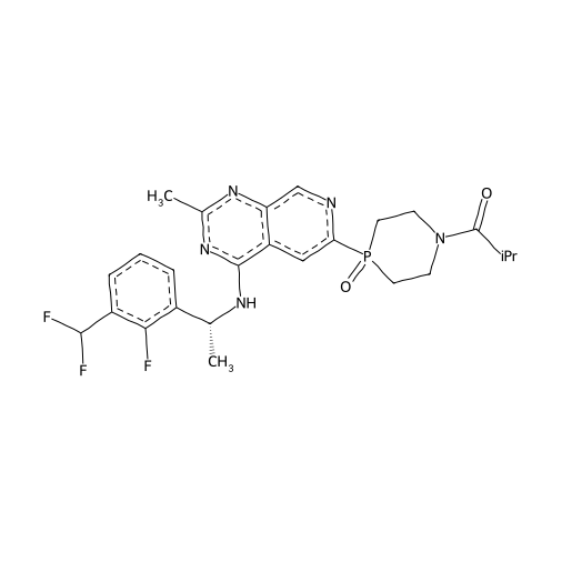 Cc1nc(N[C@H](C)c2cccc(C(F)F)c2F)c2cc(P3(=O)CCN(C(=O)C(C)C)CC3)ncc2n1